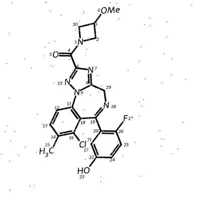 COC1CN(C(=O)c2nc3n(n2)-c2ccc(C)c(Cl)c2C(c2cc(O)ccc2F)=NC3)C1